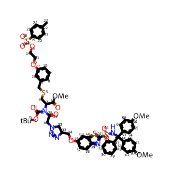 COC(=O)C(CSCc1cccc(OCCOS(=O)(=O)c2ccc(C)cc2)c1)N(C(=O)CN1CC(COc2ccc3nc(S(=O)(=O)NC(c4ccccc4)(c4ccc(OC)cc4)c4ccc(OC)cc4)sc3c2)N=N1)C(=O)OC(C)(C)C